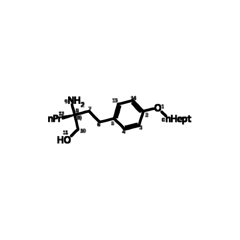 CCCCCCCOc1ccc(CC[C@@](N)(CO)CCC)cc1